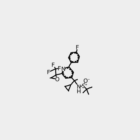 CC(N[S+]([O-])C(C)(C)C)(c1cc(-c2ccc(F)cc2)nc(C2(C(F)(F)F)CO2)c1)C1CC1